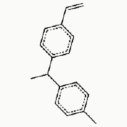 C=Cc1ccc(C(C)c2ccc(C)cc2)cc1